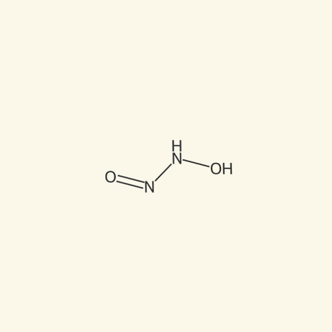 O=NNO